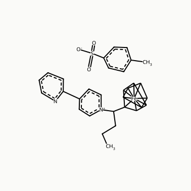 CCCC([n+]1ccc(-c2ccccn2)cc1)[C]12[CH]3[CH]4[CH]5[CH]1[Fe]45321678[CH]2[CH]1[CH]6[CH]7[CH]28.Cc1ccc(S(=O)(=O)[O-])cc1